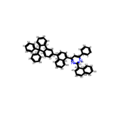 c1ccc(-c2cc(-c3ccc(-c4ccc5c(c4)-c4ccccc4C5(c4ccccc4)c4ccccc4)c4ccccc34)nc(-c3cccc4ccccc34)n2)cc1